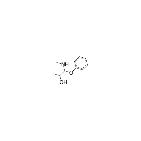 CNC(Oc1ccccc1)C(C)O